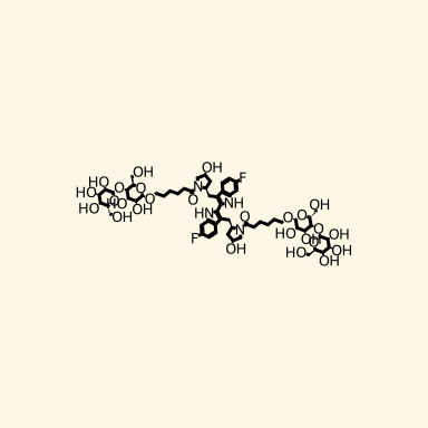 O=C(CCCCCO[C@@H]1O[C@H](CO)[C@@H](O[C@@H]2O[C@H](CO)[C@H](O)[C@H](O)[C@H]2O)[C@H](O)[C@H]1O)N1C[C@@H](O)C[C@H]1Cc1c(-c2[nH]c3cc(F)ccc3c2C[C@@H]2C[C@H](O)CN2C(=O)CCCCCO[C@@H]2O[C@H](CO)[C@@H](O[C@@H]3O[C@H](CO)[C@H](O)[C@H](O)[C@H]3O)[C@H](O)[C@H]2O)[nH]c2cc(F)ccc12